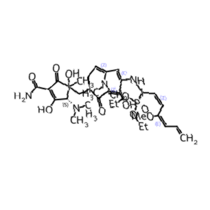 C=C/C=C(\C=C/I(NC1=C/C(N(C)C)=C/CI(CI2(C)(O)C(=O)C(C(N)=O)=C(O)[C@H]2N(C)C)C(=O)\C=C\1O)P(=O)(OCC)OCC)OC